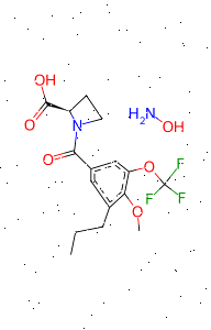 CCCc1cc(C(=O)N2CC[C@@H]2C(=O)O)cc(OC(F)(F)F)c1OC.NO